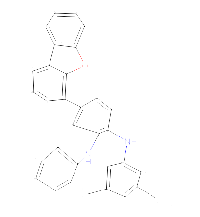 Cc1cc(C)cc(Nc2ccc(-c3cccc4c3oc3ccccc34)cc2Nc2ccccc2)c1